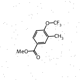 COC(=O)c1ccc(OC(F)(F)F)c(C)c1